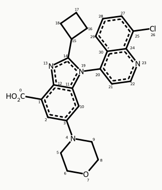 O=C(O)c1cc(N2CCOCC2)cc2c1nc(C1CCC1)n2-c1ccnc2c(Cl)cccc12